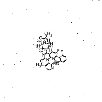 [2H]C1([2H])N(C(=O)C=C)C([2H])([2H])C([2H])([2H])N(c2nc(=O)n(-c3c(C)ccnc3C(C)C)c3nc(-c4c(O)cccc4F)c(F)cc23)C1([2H])[2H]